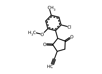 C#CC1CC(=O)C(c2c(Cl)cc(C)cc2OC)C1=O